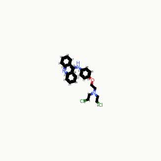 ClCCN(CCCl)CCOc1ccc(Nc2c3ccccc3nc3ccccc23)cc1